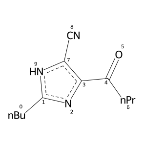 CCCCc1nc(C(=O)CCC)c(C#N)[nH]1